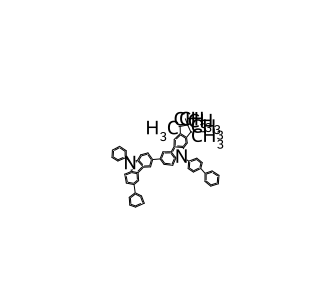 CC1(C)c2cc3c4cc(-c5ccc6c(c5)c5cc(-c7ccccc7)ccc5n6-c5ccccc5)ccc4n(-c4ccc(-c5ccccc5)cc4)c3cc2C(C)(C)C1(C)C